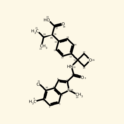 Cc1ccc2c(cc(C(=O)NC3(c4ccc([C@H](C(=O)O)C(C)C)cc4)COC3)n2C)c1Cl